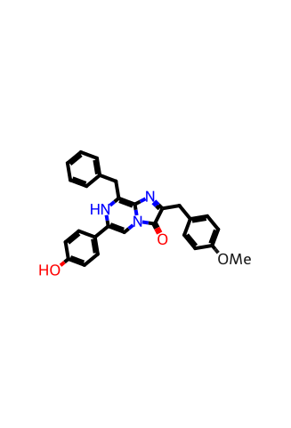 COc1ccc(Cc2nc3c(Cc4ccccc4)[nH]c(-c4ccc(O)cc4)cn-3c2=O)cc1